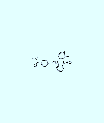 Cc1cc([C@@H](CCc2ccc(C(=O)N(C)C)cc2)c2ccccc2C=O)ccn1